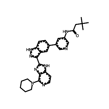 CC(C)(C)CC(=O)Nc1cncc(-c2ccc3[nH]nc(-c4nc5c(N6CCCCC6)nccc5[nH]4)c3c2)c1